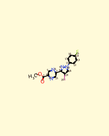 COC(=O)c1cnc(-c2nn(-c3ccc(F)cc3)cc2I)cn1